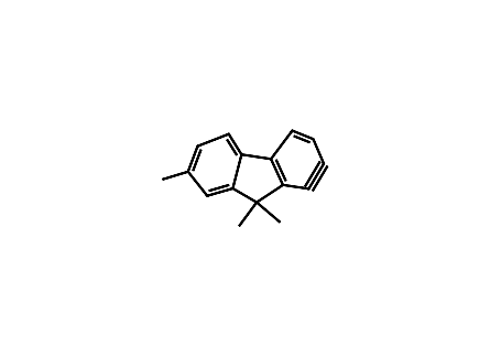 Cc1ccc2c(c1)C(C)(C)c1c#cccc1-2